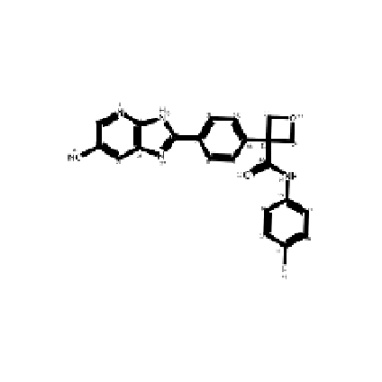 N#Cc1cnc2[nH]c(-c3ccc(C4(C(=O)Nc5ccc(F)cc5)COC4)cc3)nc2c1